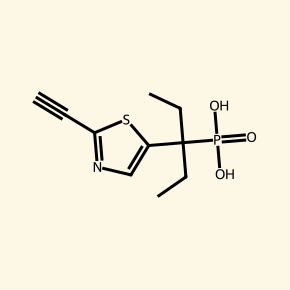 C#Cc1ncc(C(CC)(CC)P(=O)(O)O)s1